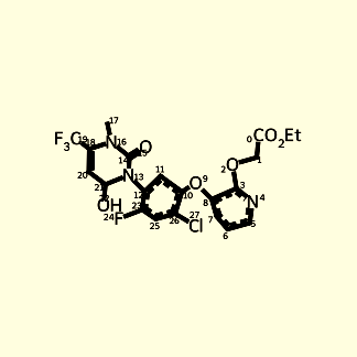 CCOC(=O)COc1ncccc1Oc1cc(N2C(=O)N(C)C(C(F)(F)F)=CC2O)c(F)cc1Cl